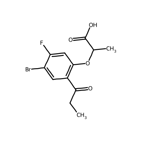 CCC(=O)c1cc(Br)c(F)cc1OC(C)C(=O)O